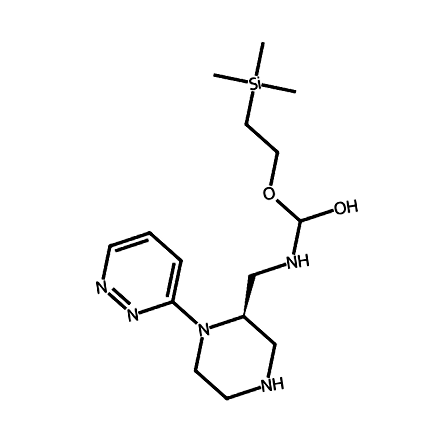 C[Si](C)(C)CCOC(O)NC[C@H]1CNCCN1c1cccnn1